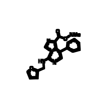 CNOC(=O)c1ncn2c(NCc3ccco3)ncc(-c3ccccc3)c12